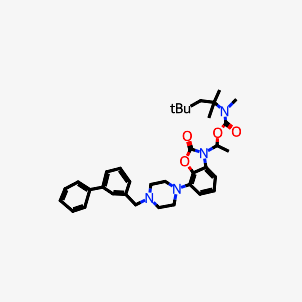 CC(OC(=O)N(C)C(C)(C)CC(C)(C)C)n1c(=O)oc2c(N3CCN(Cc4cccc(-c5ccccc5)c4)CC3)cccc21